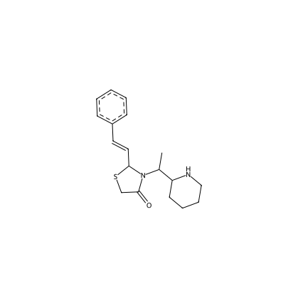 CC(C1CCCCN1)N1C(=O)CSC1C=Cc1ccccc1